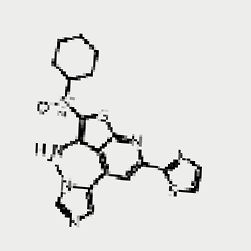 Cn1cncc1-c1cc(-c2nccs2)nc2sc([S@+]([O-])C3CCCCC3)c(N)c12